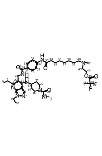 CCc1nc2c(cnn2CC)c(NC2CCN(C(N)=O)CC2)c1CNC(=O)c1ccc(NC(=O)CCCCCCCN(C)CCOC(=O)C(F)(F)F)cc1